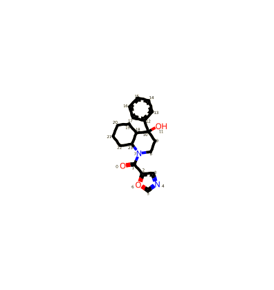 O=C(c1cnco1)N1CCC(O)(c2ccccc2)C2CCCCC21